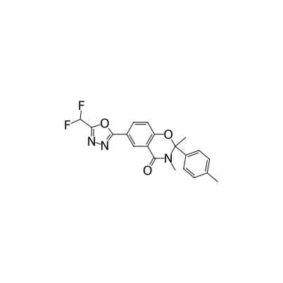 Cc1ccc(C2(C)Oc3ccc(-c4nnc(C(F)F)o4)cc3C(=O)N2C)cc1